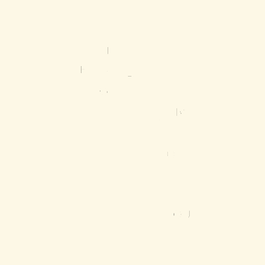 OCCOc1ccc(OC(F)(F)F)cc1Br